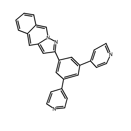 c1ccc2cn3nc(-c4cc(-c5ccncc5)cc(-c5ccncc5)c4)cc3cc2c1